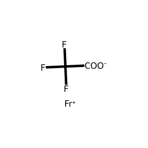 O=C([O-])C(F)(F)F.[Fr+]